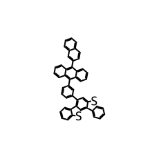 c1cc(-c2c3ccccc3c(-c3ccc4ccccc4c3)c3ccccc23)cc(-c2cc3sc4ccccc4c3c3sc4ccccc4c23)c1